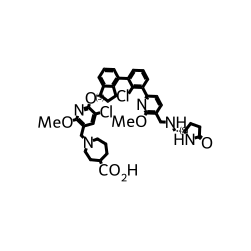 COc1nc(-c2cccc(-c3cccc4c3CC[C@@H]4Oc3nc(OC)c(CN4CCCC(C(=O)O)CC4)cc3Cl)c2Cl)ccc1CNC[C@@H]1CCC(=O)N1